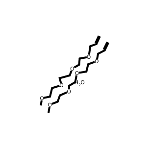 C=CCOCCOCCOCCOC.C=CCOCCOCCOCCOC.O